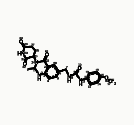 CC1Nc2ccc(CNC(=O)Nc3ccc(OC(F)(F)F)cc3)cc2C(=O)N1C1CCC(=O)NC1=O